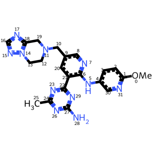 COc1ccc(Nc2ncc(CN3CCn4ncnc4C3)cc2-c2nc(C)nc(N)n2)cn1